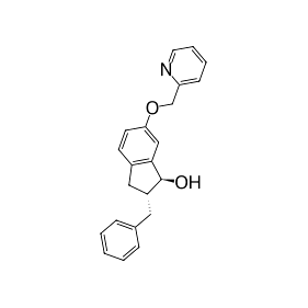 O[C@@H]1c2cc(OCc3ccccn3)ccc2C[C@H]1Cc1ccccc1